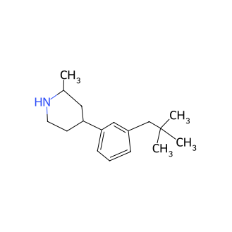 CC1CC(c2cccc(CC(C)(C)C)c2)CCN1